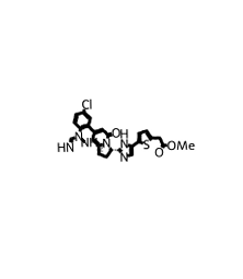 COC(=O)Cc1ccc(-c2cnc([C@@H]3CCc4cc(-c5cc(Cl)ccc5N(N)C=N)cc(=O)n43)[nH]2)s1